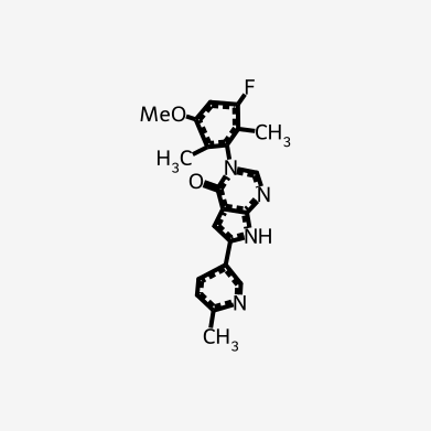 COc1cc(F)c(C)c(-n2cnc3[nH]c(-c4ccc(C)nc4)cc3c2=O)c1C